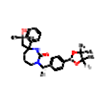 C[C@@H](c1ccc(B2OC(C)(C)C(C)(C)O2)cc1)N1CCCC(CC(C)(C)O)(c2ccccc2)NC1=O